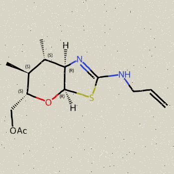 C=CCNC1=N[C@@H]2[C@@H](C)[C@H](C)[C@@H](COC(C)=O)O[C@@H]2S1